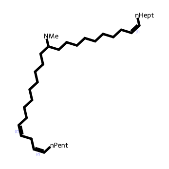 CCCCC/C=C\C/C=C\CCCCCCCCC(CCCCCCCC/C=C\CCCCCCC)NC